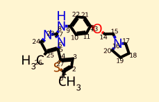 Cc1ccc(-c2nc(Nc3ccc(OCCN4CCCC4)cc3)ncc2C)s1